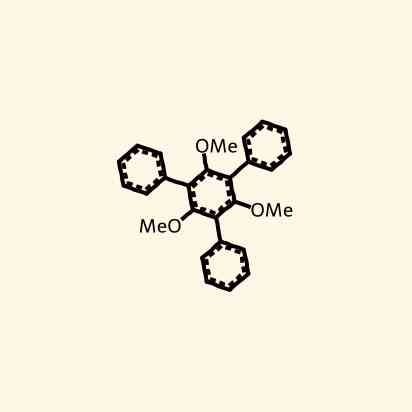 COc1c(-c2ccccc2)c(OC)c(-c2ccccc2)c(OC)c1-c1ccccc1